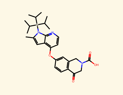 Cc1cc2c(Oc3ccc4c(c3)CN(C(=O)O)CC4=O)ccnc2n1[Si](C(C)C)(C(C)C)C(C)C